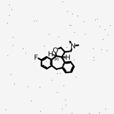 CN(C)CC1CO[C@H]2c3cc(F)ccc3Cc3ccccc3[C@@H]12